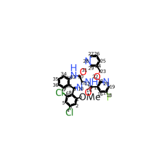 COc1cc(Cl)cc(Cl)c1C1=N[C@H](NC(=O)c2cc(F)cnc2OCc2cccnc2)C(=O)Nc2ccccc21